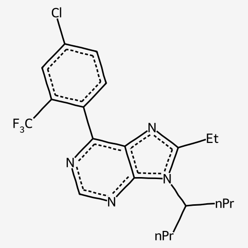 CCCC(CCC)n1c(CC)nc2c(-c3ccc(Cl)cc3C(F)(F)F)ncnc21